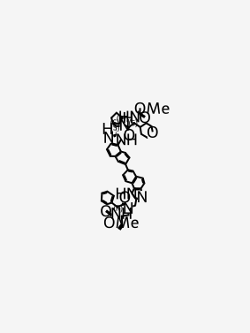 C#CCCN(Cc1nc2ccc3cc(-c4ccc5c(ccc6nc([C@@H]7[C@H]8CC[C@H](C8)N7C(=O)[C@@H](NC(=O)OC)C7CCOCC7)[nH]c65)c4)ccc3c2[nH]1)C(=O)[C@H](NC(=O)OC)c1ccccc1